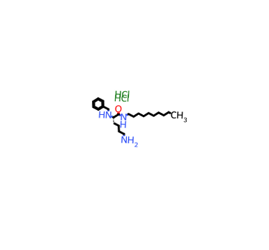 CCCCCCCCCCNC(=O)[C@H](CCCCN)NCc1ccccc1.Cl.Cl